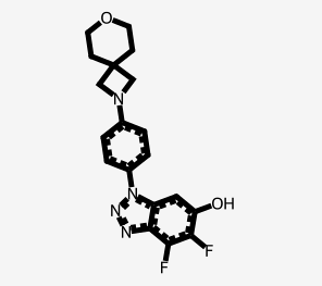 Oc1cc2c(nnn2-c2ccc(N3CC4(CCOCC4)C3)cc2)c(F)c1F